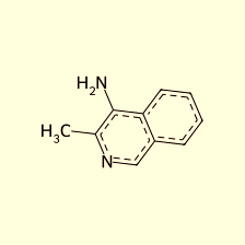 Cc1ncc2ccccc2c1N